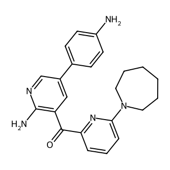 Nc1ccc(-c2cnc(N)c(C(=O)c3cccc(N4CCCCCC4)n3)c2)cc1